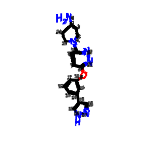 NC1CCN(c2ccc(Oc3cccc(-c4cn[nH]c4)c3)nn2)CC1